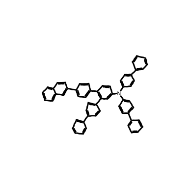 c1ccc(-c2ccc(-c3cc(N(c4ccc(-c5ccccc5)cc4)c4ccc(-c5ccccc5)cc4)ccc3-c3ccc(-c4ccc5ccccc5c4)cc3)cc2)cc1